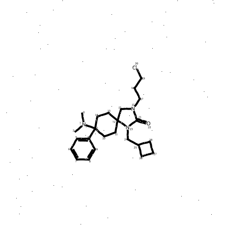 CN(C)C1(c2ccccc2)CCC2(CC1)CN(CCCCl)C(=O)N2CC1CCC1